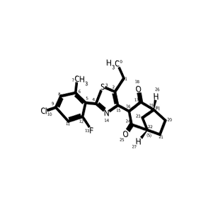 CCc1sc(-c2c(C)cc(Cl)cc2F)nc1C1C(=O)[C@@H]2CC[C@@H](C2)C1=O